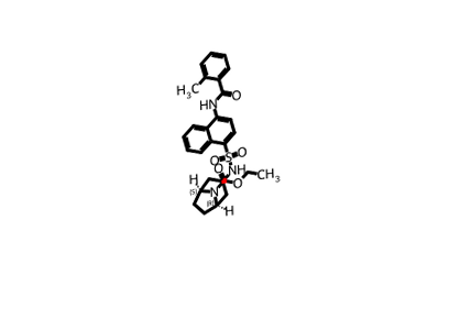 CCOC(=O)N1[C@@H]2CC[C@H]1CC(NS(=O)(=O)c1ccc(NC(=O)c3ccccc3C)c3ccccc13)C2